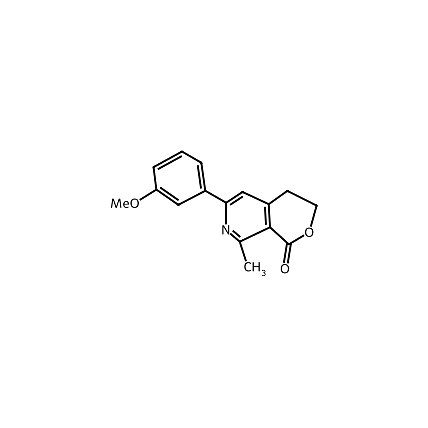 COc1cccc(-c2cc3c(c(C)n2)C(=O)OCC3)c1